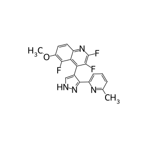 COc1ccc2nc(F)c(F)c(-c3c[nH]nc3-c3cccc(C)n3)c2c1F